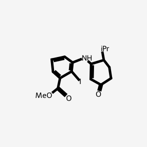 COC(=O)c1cccc(NC2=CC(=O)CCC2C(C)C)c1I